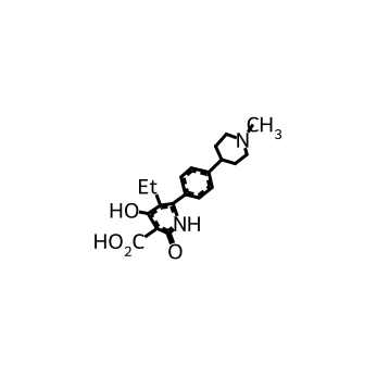 CCc1c(-c2ccc(C3CCN(C)CC3)cc2)[nH]c(=O)c(C(=O)O)c1O